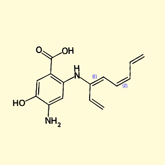 C=C/C=C\C=C(/C=C)Nc1cc(N)c(O)cc1C(=O)O